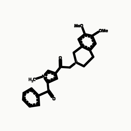 COc1cc2c(cc1OC)CN(CC(=O)c1cc(C(=O)c3ccccc3)n(C)c1)CC2